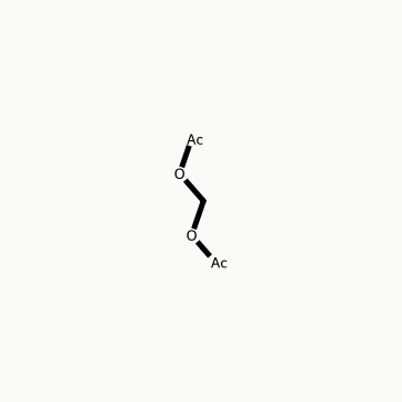 CC(=O)OCOC(C)=O